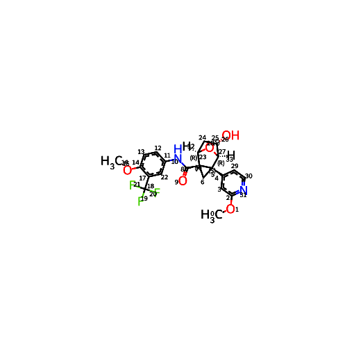 COc1cc([C@@]23C[C@]2(C(=O)Nc2ccc(OC)c(C(F)(F)F)c2)[C@H]2C[C@H](O)[C@@H]3O2)ccn1